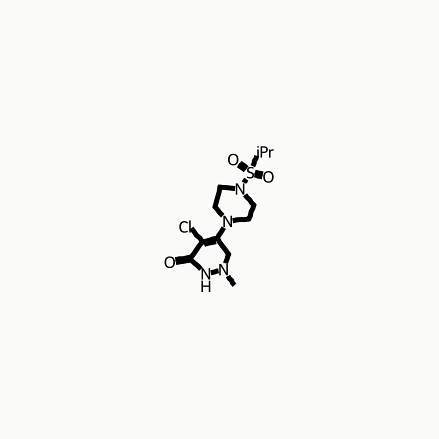 CC(C)S(=O)(=O)N1CCN(C2=C(Cl)C(=O)NN(C)C2)CC1